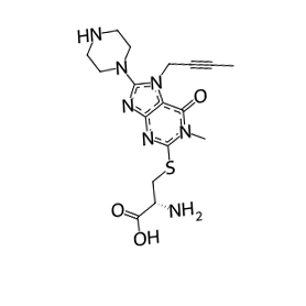 CC#CCn1c(N2CCNCC2)nc2nc(SC[C@H](N)C(=O)O)n(C)c(=O)c21